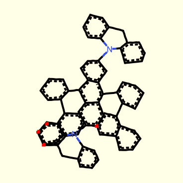 c1ccc2c(c1)Cc1ccccc1N2c1ccc2c(-c3ccccc3-c3cccc4ccccc34)c3cc(N4c5ccccc5Cc5ccccc54)ccc3c(-c3ccccc3-c3cccc4ccccc34)c2c1